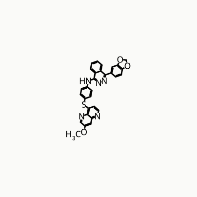 COc1cnc2c(Sc3ccc(Nc4nnc(-c5ccc6c(c5)OCO6)c5ccccc45)cc3)ccnc2c1